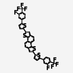 Fc1cc(-c2ccc(-c3cc4ccc5c(ccc6cc(-c7ccc(-c8ccc(C(F)(F)F)c(F)c8)s7)sc65)c4s3)s2)ccc1C(F)(F)F